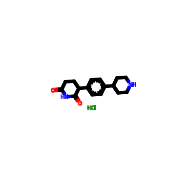 Cl.O=C1CCC(c2ccc(C3CCNCC3)cc2)C(=O)N1